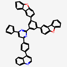 c1ccc(-c2cc(-c3ccc(-c4ccnc5ccccc45)cc3)nc(-c3cc(-c4ccc5oc6ccccc6c5c4)cc(-c4ccc5oc6ccccc6c5c4)c3)n2)cc1